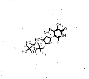 CCC(C)(C[C@H]1O[C@@H](c2c(F)[nH]c(=O)c(C)c2F)[C@@H](O)C1O)OP(=O)(O)C(C)(O)CC